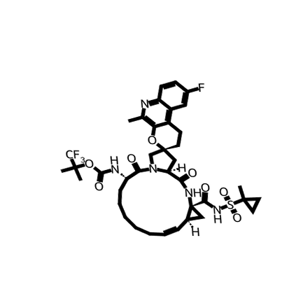 Cc1nc2ccc(F)cc2c2c1O[C@]1(CC2)C[C@H]2C(=O)N[C@]3(C(=O)NS(=O)(=O)C4(C)CC4)C[C@H]3/C=C\CCCCC[C@H](NC(=O)OC(C)(C)C(F)(F)F)C(=O)N2C1